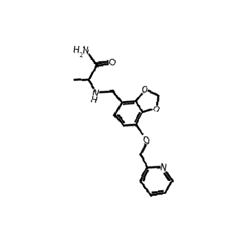 CC(NCc1ccc(OCc2ccccn2)c2c1OCO2)C(N)=O